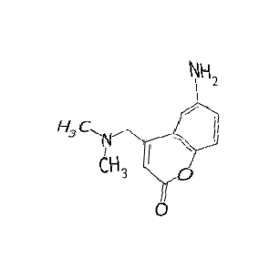 CN(C)Cc1cc(=O)oc2ccc(N)cc12